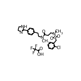 CN(CCc1ccc(C2=NCCN2)cc1)C(=O)CCN(C)S(=O)(=O)Cc1ccccc1Cl.O=C(O)C(F)(F)F